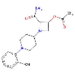 N#Cc1ccccc1N1CCC(N2CC(OC(=O)C(F)(F)F)C2C(N)=O)CC1